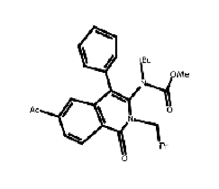 COC(=O)N(c1c(-c2ccccc2)c2cc(C(C)=O)ccc2c(=O)n1CC(C)C)C(C)(C)C